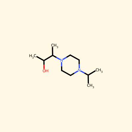 CC(O)C(C)N1CCN(C(C)C)CC1